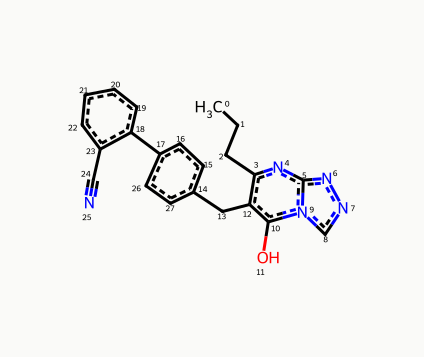 CCCc1nc2nncn2c(O)c1Cc1ccc(-c2ccccc2C#N)cc1